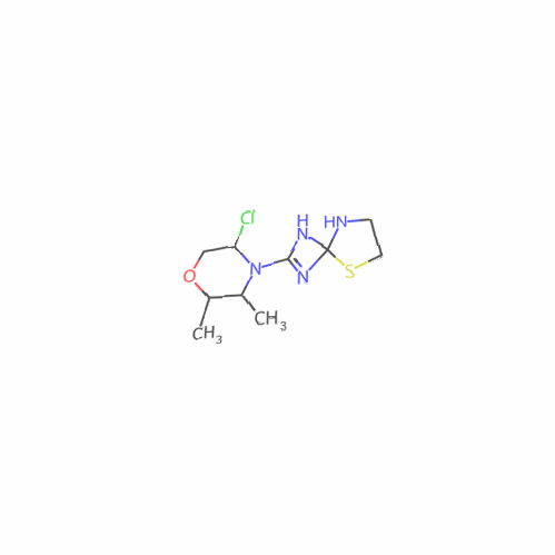 CC1OCC(Cl)N(C2=NC3(NCCS3)N2)C1C